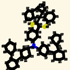 c1ccc(-c2ccccc2-c2ccc(N(c3ccc(-c4ccccc4-c4ccccc4)cc3)c3ccc4sc5c(c4c3)Sc3ccccc3C53c4ccccc4-c4ccccc43)cc2)cc1